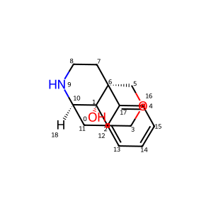 O[C@@]12CCOC[C@@]13CCN[C@@H]2Cc1ccccc13